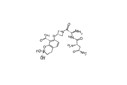 N[C@H](CC([NH3+])=O)C(=O)N[C@H](N)C(=O)N1CC(Oc2ccc3c(c2C(=O)O)O[B-](O)(O)CC3)C1